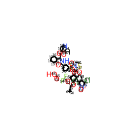 O=C(NC(C(=O)O[C@H]1CN2CCC1CC2)c1ccccc1)c1cccc(S(=O)(=O)N2CCS[C@H]2C(=O)O[C@@H](Cc2c(Cl)c[n+]([O-])cc2Cl)c2ccc(OC(F)F)c(OCC3CC3)c2)c1.O=CO